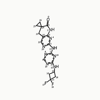 O=C1Nc2nc(Nc3ncnc(NC4CC(F)(F)C4)n3)ncc2CC12CC2